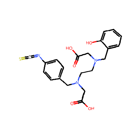 O=C(O)CN(CCN(CC(=O)O)Cc1ccccc1O)Cc1ccc(N=C=S)cc1